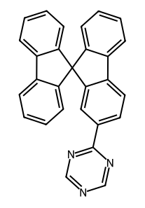 c1ccc2c(c1)-c1ccccc1C21c2ccccc2-c2ccc(-c3ncncn3)cc21